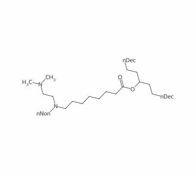 CCCCCCCCCCCCC(CCCCCCCCCCCC)OC(=O)CCCCCCCN(CCCCCCCCC)CCN(C)C